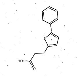 O=C(O)CSc1ccc(-c2ccccc2)s1